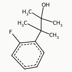 CC(C)(O)C(C)(C)c1ccccc1F